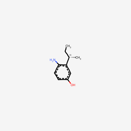 CC[C@H](C)c1cc(O)ccc1N